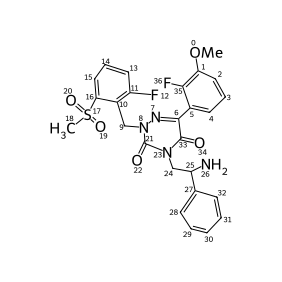 COc1cccc(-c2nn(Cc3c(F)cccc3S(C)(=O)=O)c(=O)n(CC(N)c3ccccc3)c2=O)c1F